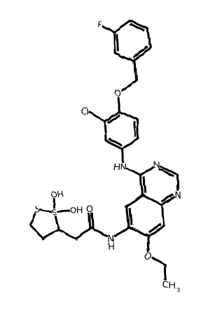 CCOc1cc2ncnc(Nc3ccc(OCc4cccc(F)c4)c(Cl)c3)c2cc1NC(=O)CC1CCSS1(O)O